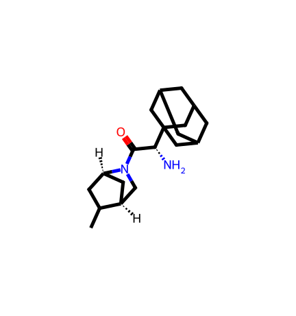 CC1C[C@@H]2C[C@H]1CN2C(=O)[C@@H](N)C12CC3CC(CC(C3)C1)C2